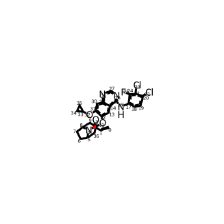 C=CC(=O)N1C2CCC1CC(Oc1cc3c(Nc4ccc(Cl)c(Cl)c4F)ncnc3cc1OC1CC1)C2